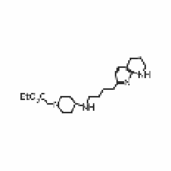 CCOC(=O)CN1CCC(NCCCCc2ccc3c(n2)NCCC3)CC1